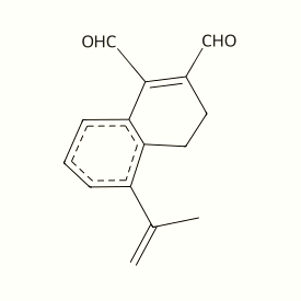 C=C(C)c1cccc2c1CCC(C=O)=C2C=O